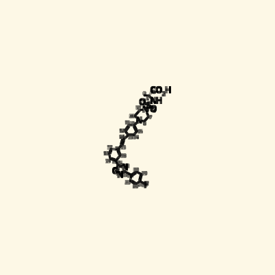 C[C@@H](NS(=O)(=O)N1CCN(c2ccc(C#Cc3cccc(-c4nc(-c5ccc(F)cc5)no4)c3)cc2)CC1)C(=O)O